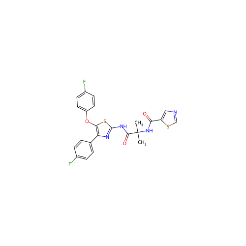 CC(C)(NC(=O)c1cncs1)C(=O)Nc1nc(-c2ccc(F)cc2)c(Oc2ccc(F)cc2)s1